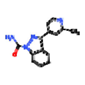 Cc1cc(-c2nn(C(N)=O)c3cc[c]cc23)ccn1